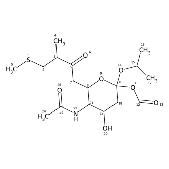 CSCC(C)C(=O)CC1OC(OC=O)(OC(C)C)CC(O)C1NC(C)=O